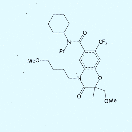 COCCCCN1C(=O)C(C)(COC)Oc2cc(C(F)(F)F)c(C(=O)N(C(C)C)C3CCCCC3)cc21